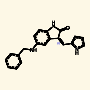 O=C1Nc2ccc(NCc3ccccc3)cc2/C1=C/c1ccc[nH]1